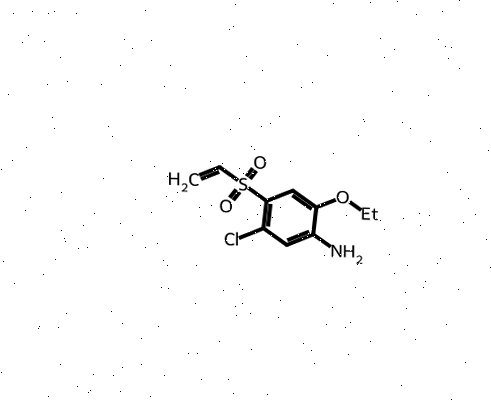 C=CS(=O)(=O)c1cc(OCC)c(N)cc1Cl